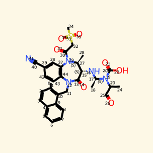 Cc1ccc2ccccc2c1CN1C(=O)[C@@H](N[C@H](C)N(C(=O)O)C(C)C=O)[C@H](C)N(C(=O)CS(C)(=O)=O)c2cc(C#N)ccc21